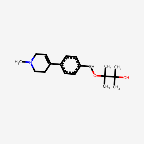 CN1CC=C(c2ccc(BOC(C)(C)C(C)(C)O)cc2)CC1